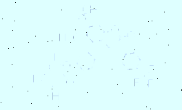 COc1cc2oc(=O)c(-c3ccc(C(F)(F)F)cc3)c(Cc3ccc(OC(=O)C(C)(C)C)cc3)c2cc1C